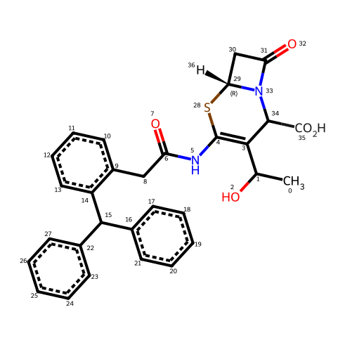 CC(O)C1=C(NC(=O)Cc2ccccc2C(c2ccccc2)c2ccccc2)S[C@@H]2CC(=O)N2C1C(=O)O